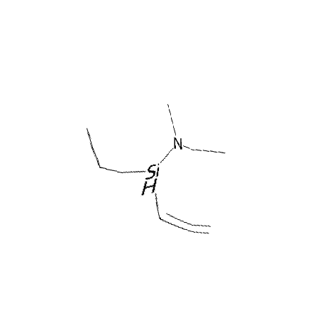 C=C[SiH](CC)N(C)C